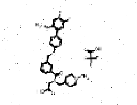 CSc1cc(F)c(F)cc1-c1ccc(OCc2cccc(C(=O)N(CC(=O)O)CC3CCN(C)CC3)c2)cc1.O=C(O)C(F)(F)F